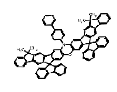 CC1(C)c2ccccc2-c2cc3c(cc21)-c1cc2c(cc1C31c3ccccc3-c3ccccc31)Oc1cc3c(cc1N2c1ccc(-c2ccccc2)cc1)-c1cc2c(cc1C31c3ccccc3-c3ccccc31)-c1ccccc1C2(C)C